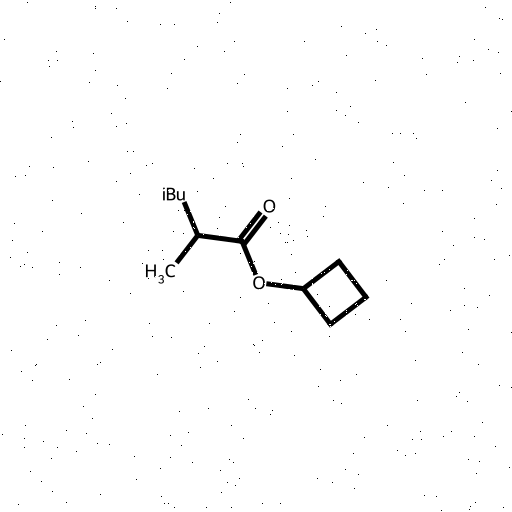 CCC(C)C(C)C(=O)OC1CCC1